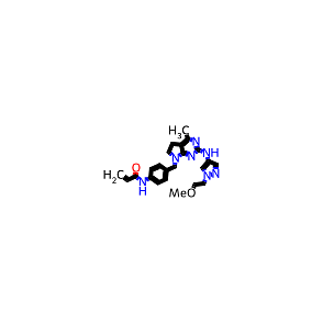 C=CC(=O)Nc1ccc(CN2CCc3c(C)nc(Nc4cnn(CCOC)c4)nc32)cc1